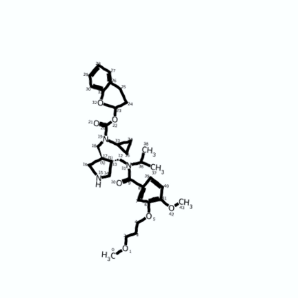 COCCCOc1cc(C(=O)N(C[C@@H]2CNC[C@H]2CN(C(=O)OC2CCc3ccccc3O2)C2CC2)C(C)C)ccc1OC